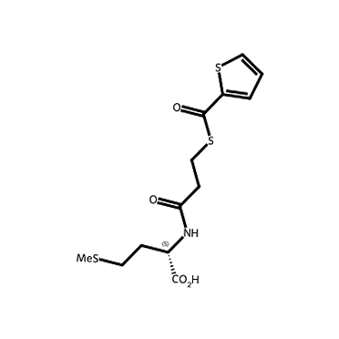 CSCC[C@H](NC(=O)CCSC(=O)c1cccs1)C(=O)O